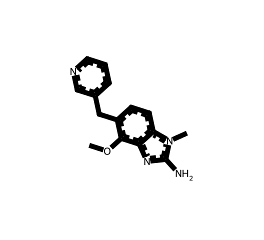 COc1c(Cc2cccnc2)ccc2c1nc(N)n2C